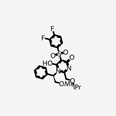 COC[C@@H](c1ccccc1)n1c(COC(C)C)nc(=O)c(S(=O)(=O)c2ccc(F)c(F)c2)c1O